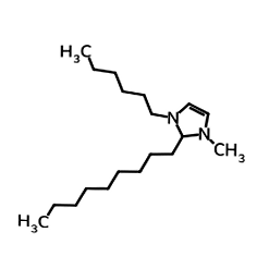 CCCCCCCCCC1N(C)C=CN1CCCCCC